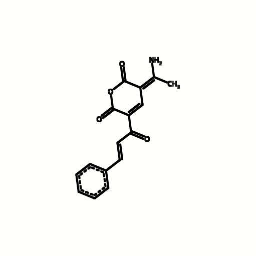 C/C(N)=C1\C=C(C(=O)/C=C/c2ccccc2)C(=O)OC1=O